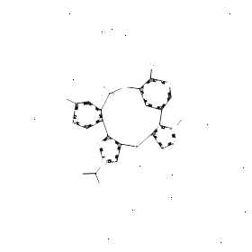 CCn1ncc2c1-c1cnc(N)c(c1)O[C@H](C)c1cc(F)ccc1-c1nn(C(F)F)cc1C2